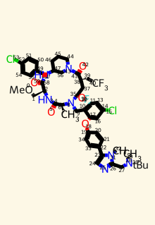 COC[C@@H]1NC(=O)[C@H](C)N(Cc2c(F)cc(Cl)cc2Oc2ccc(-c3cnc(CN(C)C(C)(C)C)n3C)cc2)C(=O)C[C@@H](CC(F)(F)F)C(=O)N2CCC[C@@](Cc3ccc(Cl)cc3)(C2)NC1=O